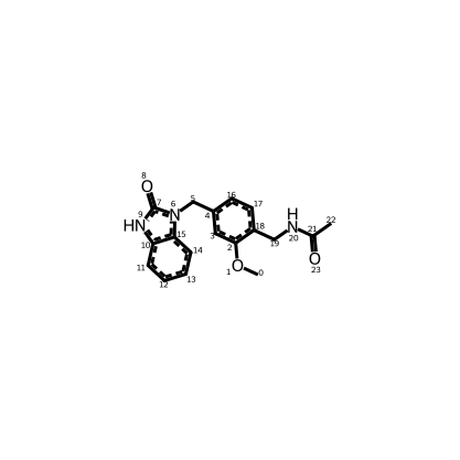 COc1cc(Cn2c(=O)[nH]c3ccccc32)ccc1CNC(C)=O